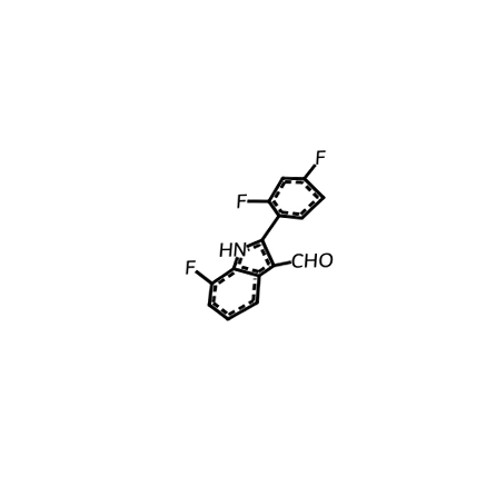 O=Cc1c(-c2ccc(F)cc2F)[nH]c2c(F)cccc12